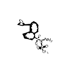 NN(S(=O)(=O)c1cccc2c(C3CO3)cccc12)S(=O)(=O)C(F)(F)F